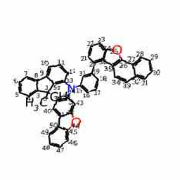 CC1(C)c2ccccc2-c2cccc(N(c3cccc(-c4cccc5oc6c7ccccc7ccc6c45)c3)c3ccc4c(c3)oc3ccccc34)c21